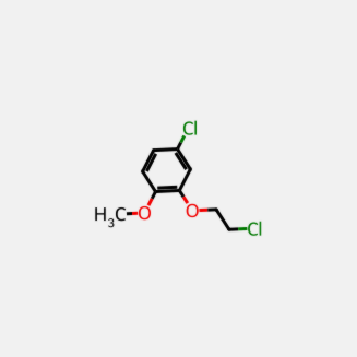 COc1ccc(Cl)cc1OCCCl